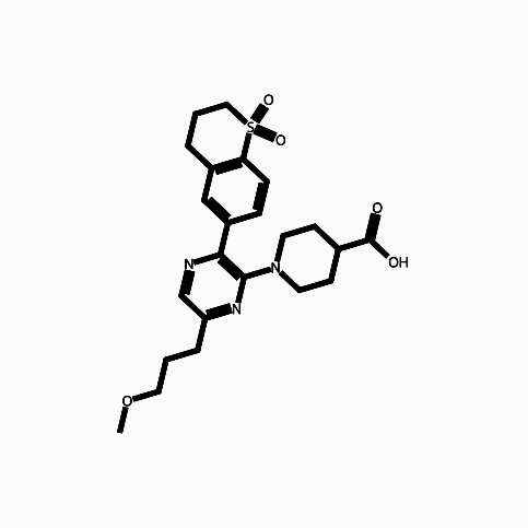 COCCCc1cnc(-c2ccc3c(c2)CCCS3(=O)=O)c(N2CCC(C(=O)O)CC2)n1